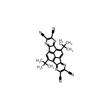 CC(C)(C)c1cc2c3c(c(C(C)(C)C)cc4c3c1-c1nc(C#N)c(C#N)nc1-4)-c1nc(C#N)c(C#N)nc1-2